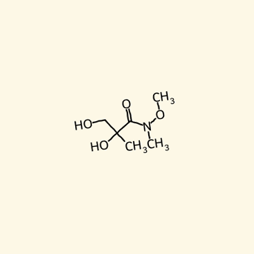 CON(C)C(=O)C(C)(O)CO